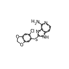 Nc1nccc2[nH]c(Sc3cc4c(cc3Cl)OCO4)nc12